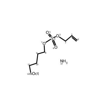 C=CCOS(=O)(=O)OCCCCCCCCCCCC.N